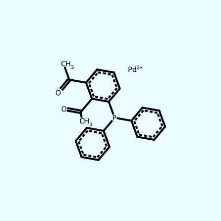 CC(=O)c1cccc(P(c2ccccc2)c2ccccc2)c1C(C)=O.[Pd+2]